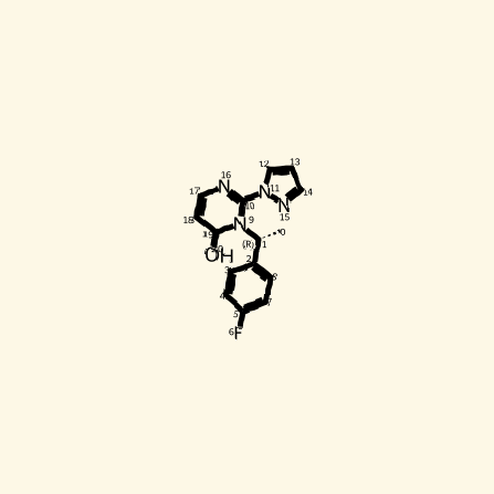 C[C@H](c1ccc(F)cc1)N1C(n2cccn2)=NC=CC1O